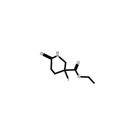 CCOC(=O)C1(I)CCC(=O)NC1